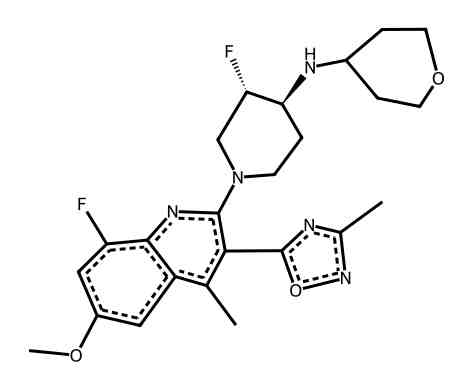 COc1cc(F)c2nc(N3CC[C@H](NC4CCOCC4)[C@@H](F)C3)c(-c3nc(C)no3)c(C)c2c1